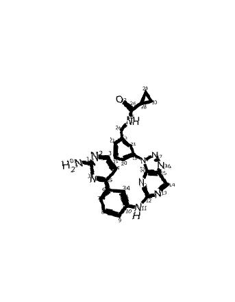 Nc1nccc(-c2cccc(Nc3ncc4nnn(-c5cccc(CNC(=O)C6CC6)c5)c4n3)c2)n1